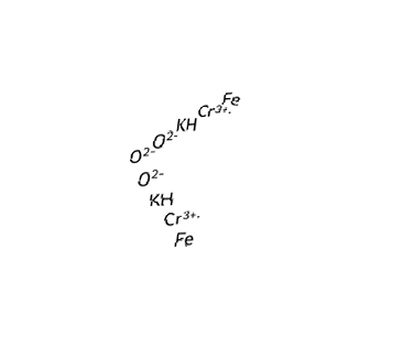 [Cr+3].[Cr+3].[Fe].[Fe].[KH].[KH].[O-2].[O-2].[O-2]